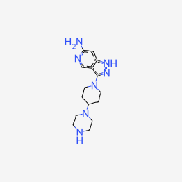 Nc1cc2[nH]nc(N3CCC(N4CCNCC4)CC3)c2cn1